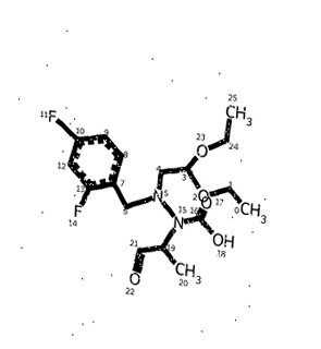 CCOC(CN(Cc1ccc(F)cc1F)N(C(=O)O)C(C)C=O)OCC